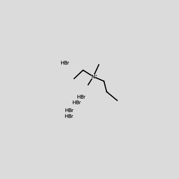 Br.Br.Br.Br.Br.CCC[N+](C)(C)CC